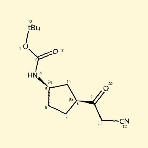 CC(C)(C)OC(=O)N[C@@H]1CC[C@H](C(=O)CC#N)C1